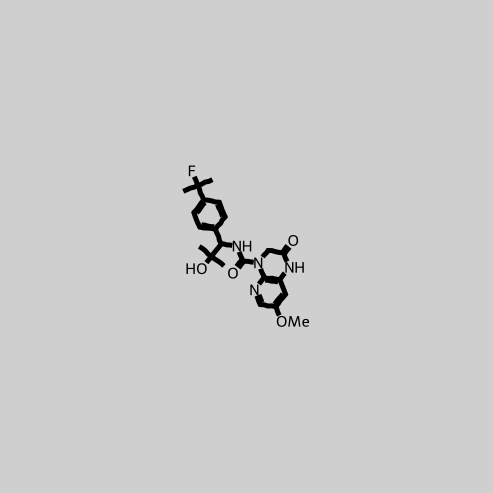 COc1cnc2c(c1)NC(=O)CN2C(=O)NC(c1ccc(C(C)(C)F)cc1)C(C)(C)O